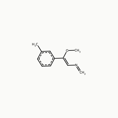 C=N/C=C(\OC)c1cccc(C)c1